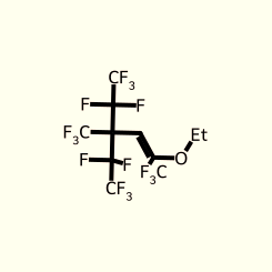 CCOC(=CC(C(F)(F)F)(C(F)(F)C(F)(F)F)C(F)(F)C(F)(F)F)C(F)(F)F